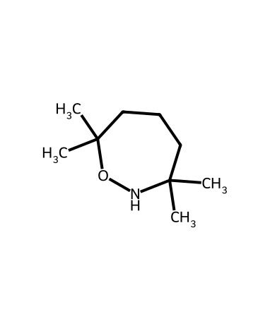 CC1(C)CCCC(C)(C)ON1